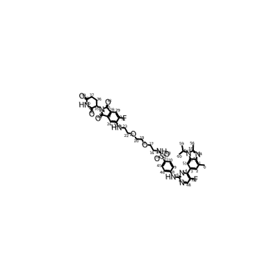 Cc1cc(-c2nc(Nc3ccc(S(=O)(=O)NCCOCCOCCNc4cc5c(cc4F)C(=O)N(C4CCC(=O)NC4=O)C5=O)cc3)ncc2F)cc2c1nc(C)n2C(C)C